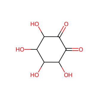 O=C1C(=O)C(O)C(O)C(O)C1O